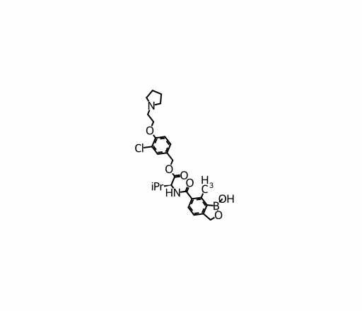 Cc1c(C(=O)N[C@H](C(=O)OCc2ccc(OCCN3CCCC3)c(Cl)c2)C(C)C)ccc2c1B(O)OC2